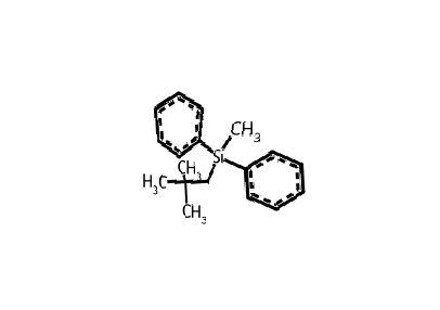 CC(C)(C)C[Si](C)(c1ccccc1)c1ccccc1